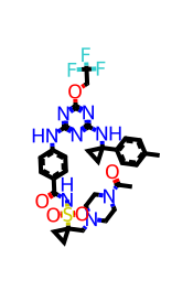 CC(=O)N1CCN(CC2(S(=O)(=O)NC(=O)c3ccc(Nc4nc(NC5(c6ccc(C)cc6)CC5)nc(OCC(F)(F)F)n4)cc3)CC2)CC1